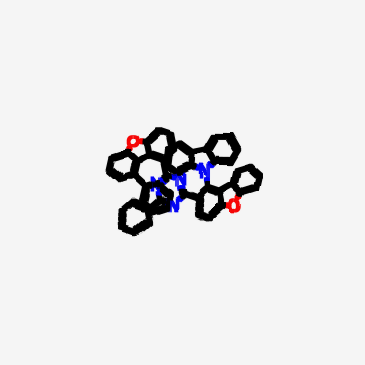 c1ccc(-c2nc(-c3ccc4oc5ccccc5c4c3-n3c4ccccc4c4ccccc43)nc(-c3cccc4oc5cccc(-c6ccccc6)c5c34)n2)cc1